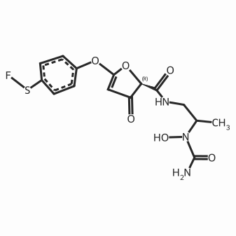 CC(CNC(=O)[C@@H]1OC(Oc2ccc(SF)cc2)=CC1=O)N(O)C(N)=O